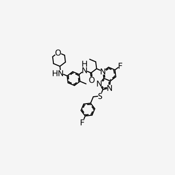 CCC(C(=O)Nc1cc(NC2CCOCC2)ccc1C)n1cc(F)cc2nc(SCc3ccc(F)cc3)nc1-2